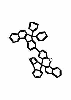 c1ccc(C2(c3ccccc3)c3cc(-c4ccc5c(c4)C4(c6ccccc6-c6ccccc64)c4ccc6ccccc6c4O5)ccc3-c3c2ccc2ccccc32)cc1